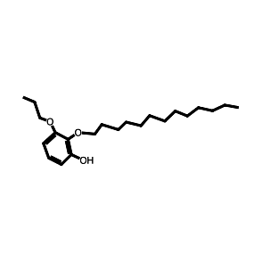 CCCCCCCCCCCCCOc1c(O)cccc1OCCC